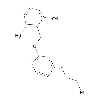 Cc1cccc(C)c1COc1cccc(OCCN)c1